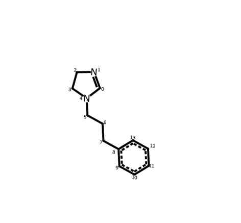 C1=NCCN1CCCc1ccccc1